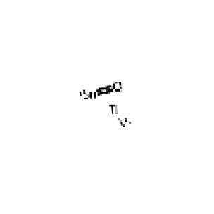 [O]=[Sn].[Ti].[V]